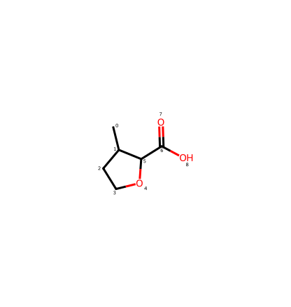 CC1CCOC1C(=O)O